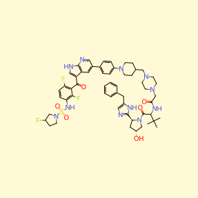 CC(C)(C)C(NC(=O)CN1CCN(CC2CCN(c3ccc(-c4cnc5[nH]cc(C(=O)c6c(F)ccc(NS(=O)(=O)N7CC[C@@H](F)C7)c6F)c5c4)cc3)CC2)CC1)C(=O)N1C[C@H](O)C[C@H]1c1ncc(Cc2ccccc2)[nH]1